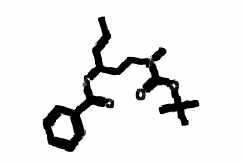 CCCC(CCN(C)C(=O)OC(C)(C)C)SC(=O)c1ccccc1